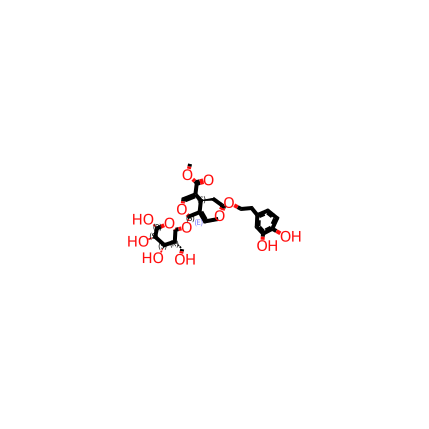 C/C=C1/[C@H](OC2O[C@@H](O)[C@@H](O)[C@@H](O)[C@H]2CO)OC=C(C(=O)OC)[C@H]1CC(=O)OCCc1ccc(O)c(O)c1